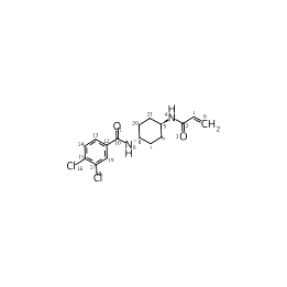 C=CC(=O)N[C@H]1CC[C@H](NC(=O)c2ccc(Cl)c(Cl)c2)CC1